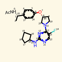 CC(=O)N[C@@H](C)c1ccc(O[C@@H]2CCN(c3nc(NC4CCCC4)ncc3F)C2)cc1